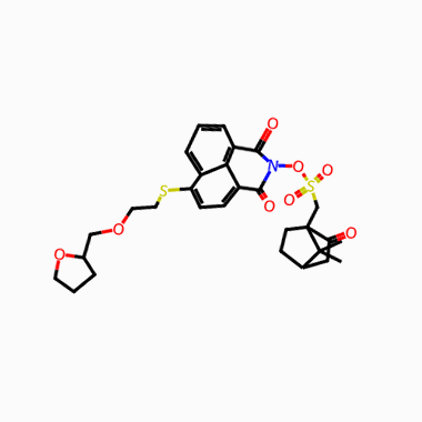 CC1(C)C2CCC1(CS(=O)(=O)ON1C(=O)c3cccc4c(SCCOCC5CCCO5)ccc(c34)C1=O)C(=O)C2